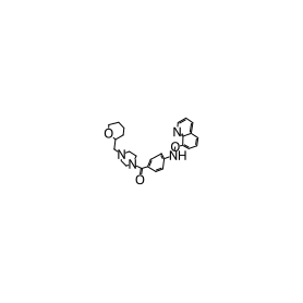 O=C(c1ccc(NOc2cccc3cccnc23)cc1)N1CCN(CC2CCCCO2)CC1